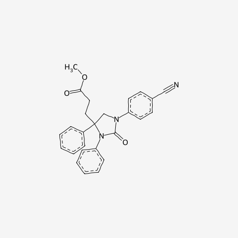 COC(=O)CCC1(c2ccccc2)CN(c2ccc(C#N)cc2)C(=O)N1c1ccccc1